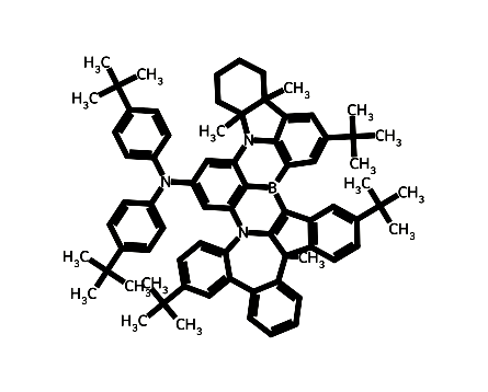 CC(C)(C)c1ccc(N(c2ccc(C(C)(C)C)cc2)c2cc3c4c(c2)N2c5c(cc(C(C)(C)C)cc5C5(C)CCCCC25C)B4C2=C4N3c3ccc(C(C)(C)C)cc3-c3ccccc3C4(C)c3ccc(C(C)(C)C)cc32)cc1